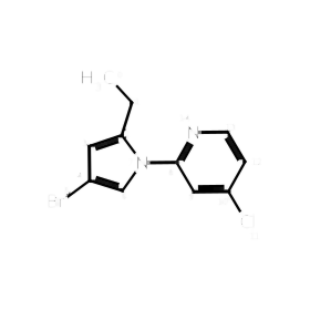 CCc1cc(Br)cn1-c1cc(Cl)ccn1